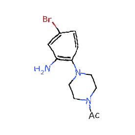 CC(=O)N1CCN(c2ccc(Br)cc2N)CC1